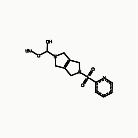 CC(C)(C)OC(O)N1CC2=C(C1)CN(S(=O)(=O)c1ccccn1)C2